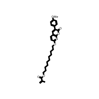 C=C(C)C(=O)OCCCCCCCCCCCOc1ccc2cc(-c3ccc(OC)cc3)c(=O)oc2n1